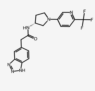 O=C(Cc1ccc2[nH]nnc2c1)N[C@@H]1CCN(c2ccc(C(F)(F)F)nc2)C1